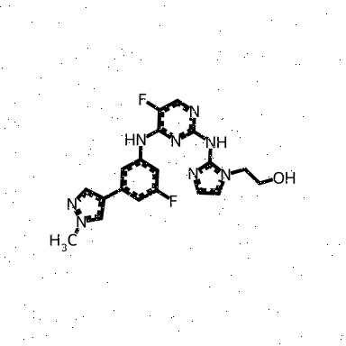 Cn1cc(-c2cc(F)cc(Nc3nc(Nc4nccn4CCO)ncc3F)c2)cn1